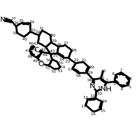 CC1=C(c2ccccc2)NC(C2=CCCC=C2)N=C1C1=CCC(C2C=C3C(CC2)C2CCC(C4C=CC(C#N)CC4)CC2C32c3ccccc3OC3CCCCC32)C=C1